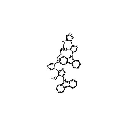 Oc1c(-n2c3ccccc3c3ccccc32)csc1-c1cscc1OCCCCOc1cscc1-c1scc(-n2c3ccccc3c3ccccc32)c1O